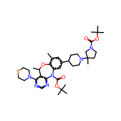 Cc1cc(C2CCN(C3(C)CCN(C(=O)OC(C)(C)C)C3)CC2)cc2c1OC(C)c1c(N3CCSCC3)ncnc1N2C(=O)OC(C)(C)C